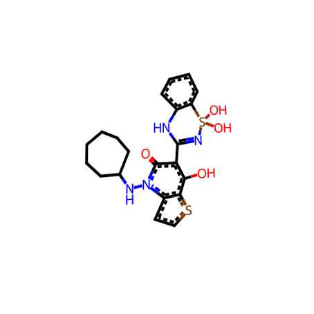 O=c1c(C2=NS(O)(O)c3ccccc3N2)c(O)c2sccc2n1NC1CCCCCC1